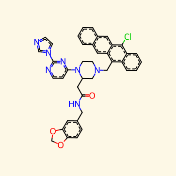 O=C(CC1CN(Cc2c3ccccc3c(Cl)c3cc4ccccc4cc23)CCN1c1ccnc(-n2ccnc2)n1)NCc1ccc2c(c1)OCO2